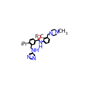 CC(C)c1ccc(C(=O)Nc2cccc(CN3CCN(C)CC3)c2C(F)(F)F)cc1CNc1cncnc1